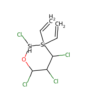 C=C[Si]1(C=C)C(Cl)C(Cl)C(Cl)O[SiH]1Cl